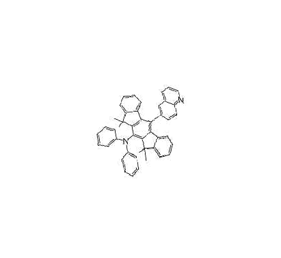 CC1(C)c2ccccc2-c2c(-c3ccc4ncccc4c3)c3c(c(N(c4ccccc4)c4ccccc4)c21)C(C)(C)c1ccccc1-3